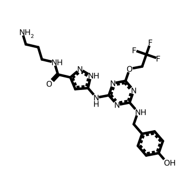 NCCCNC(=O)c1cc(Nc2nc(NCc3ccc(O)cc3)nc(OCC(F)(F)F)n2)[nH]n1